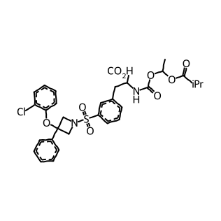 CC(OC(=O)NC(Cc1cccc(S(=O)(=O)N2CC(Oc3ccccc3Cl)(c3ccccc3)C2)c1)C(=O)O)OC(=O)C(C)C